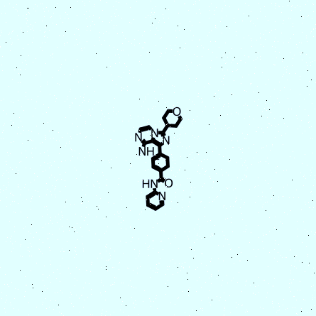 Nc1nccn2c(C3CCOCC3)nc(C3=CC=C(C(=O)Nc4ccccn4)CC3)c12